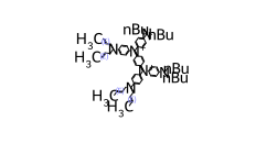 C/C=C/CN(C/C=C/C)c1ccc([N+](=C2C=CC(=[N+](c3ccc(N(C/C=C/C)C/C=C/C)cc3)c3ccc(N(CCCC)CCCC)cc3)C=C2)c2ccc(N(CCCC)CCCC)cc2)cc1